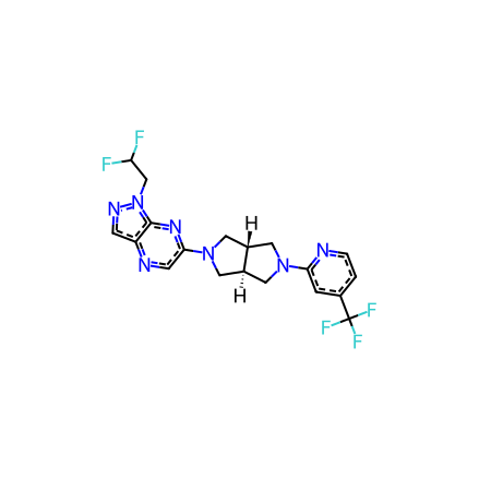 FC(F)Cn1ncc2ncc(N3C[C@@H]4CN(c5cc(C(F)(F)F)ccn5)C[C@H]4C3)nc21